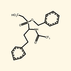 O=C(O)CP(=O)(OCc1ccccc1)C(CCc1ccccc1)NC(=O)C(F)(F)F